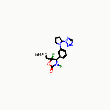 CC(=O)NCC1(F)OC(=O)N(F)C1c1cccc(N2CCCC2n2ncnn2)c1